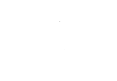 O=C(O)CCC1CCC(NC(=O)/C(=N\OCC(=O)O)c2cccs2)B(O)O1